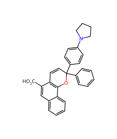 O=C(O)c1cc2ccccc2c2c1C=CC(c1ccccc1)(c1ccc(N3CCCC3)cc1)O2